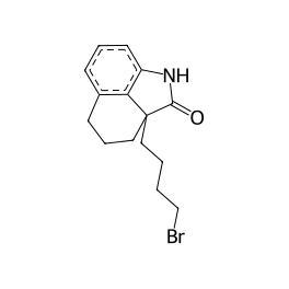 O=C1Nc2cccc3c2C1(CCCCBr)CCC3